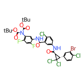 CC(C)(C)OC(=O)N(C(=O)OC(C)(C)C)c1cc(NC(=O)c2cc(NC(=O)[C@H]3[C@H](c4ccc(Cl)c(Br)c4)C3(Cl)Cl)ccc2Cl)c(F)cc1F